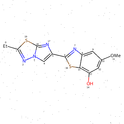 CCc1nn2cc(-c3nc4cc(OC)cc(O)c4s3)nc2s1